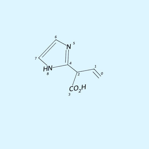 C=CC(C(=O)O)c1ncc[nH]1